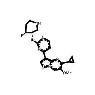 COc1cn2ncc(-c3ccnc(N[C@H]4CNCC[C@@H]4F)n3)c2nc1C1CC1